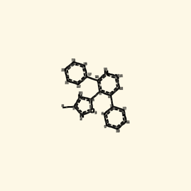 Cc1noc(-c2c(-c3ccccc3)cnnc2-c2ccccc2)n1